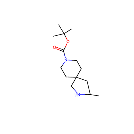 CC1CC2(CCN(C(=O)OC(C)(C)C)CC2)CN1